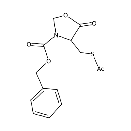 CC(=O)SCC1C(=O)OCN1C(=O)OCc1ccccc1